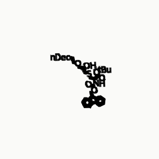 CCCCCCCCCCCCOC[C@@H](O)CSCC(NC(=O)OCC1c2ccccc2-c2ccccc21)C(=O)OC(C)(C)C